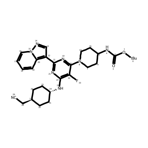 CC(C)(C)OC(=O)NC1CCN(c2nc(-c3cnn4ccccc34)nc(N[C@H]3CC[C@H](CC#N)CC3)c2F)CC1